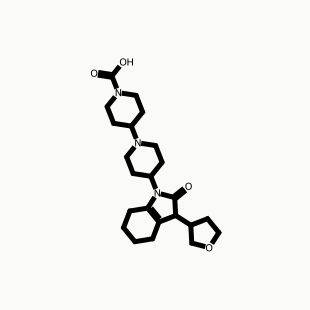 O=C(O)N1CCC(N2CCC(N3C(=O)C(C4CCOC4)C4=C3CCCC4)CC2)CC1